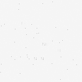 CCCc1cnn2nc(C)[nH]c12